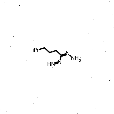 CC(C)CCC/C(N=N)=N/N